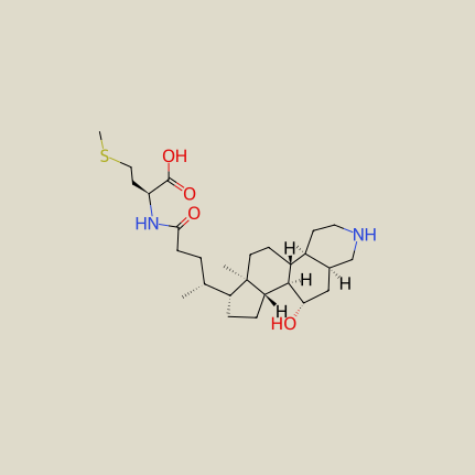 CSCC[C@H](NC(=O)CC[C@@H](C)[C@H]1CC[C@H]2[C@@H]3[C@@H](O)C[C@@H]4CNCC[C@]4(C)[C@H]3CC[C@]12C)C(=O)O